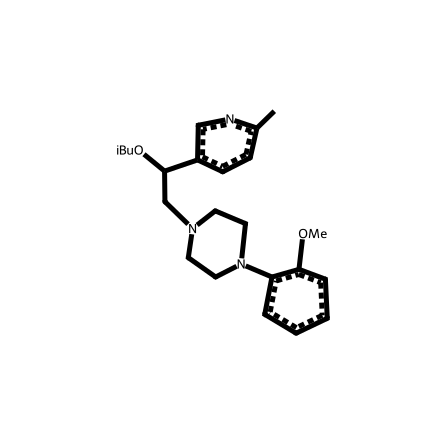 COc1ccccc1N1CCN(CC(OCC(C)C)c2ccc(C)nc2)CC1